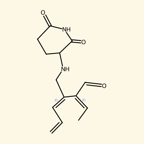 C=C/C=C(CNC1CCC(=O)NC1=O)\C(C=O)=C/C